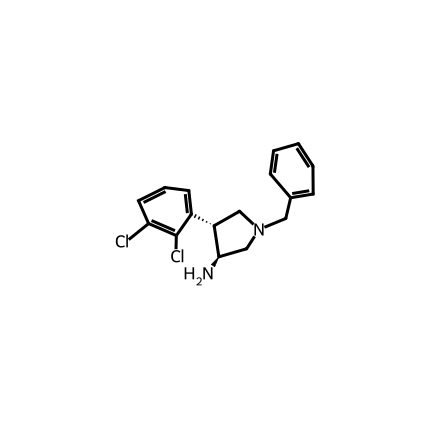 N[C@@H]1CN(Cc2ccccc2)C[C@H]1c1cccc(Cl)c1Cl